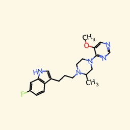 COc1cncnc1N1CCN(CCCc2c[nH]c3cc(F)ccc23)C(C)C1